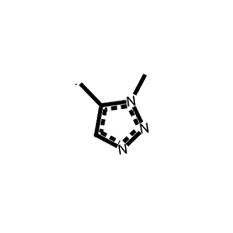 [CH2]c1cnnn1C